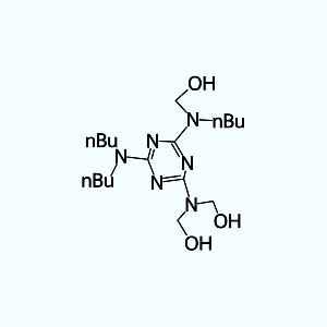 CCCCN(CO)c1nc(N(CO)CO)nc(N(CCCC)CCCC)n1